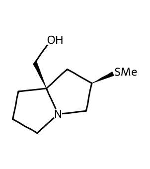 CS[C@H]1CN2CCC[C@]2(CO)C1